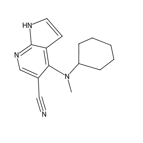 CN(c1c(C#N)cnc2[nH]ccc12)C1CCCCC1